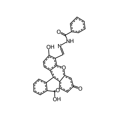 O=C(N/N=C/c1c(O)ccc2c(-c3ccccc3C(=O)O)c3ccc(=O)cc-3oc12)c1ccccc1